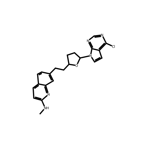 CNc1ccc2ccc(CCC3CCC(n4ccc5c(Cl)ncnc54)O3)cc2n1